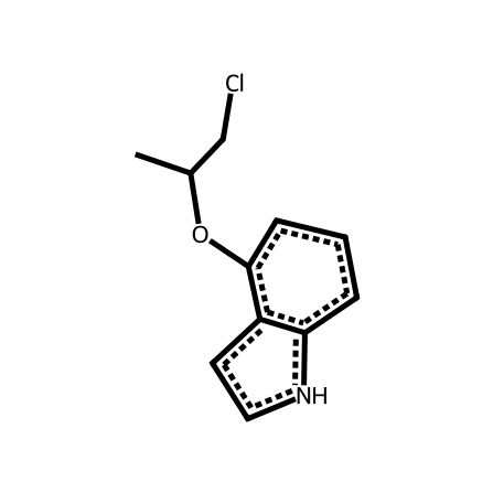 CC(CCl)Oc1cccc2[nH]ccc12